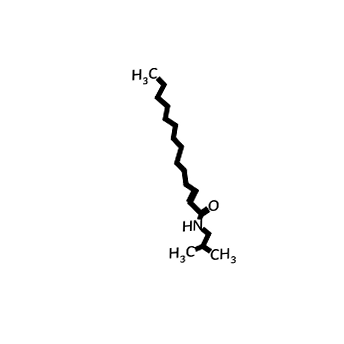 CCCCCCCCCCCC=CC(=O)NCC(C)C